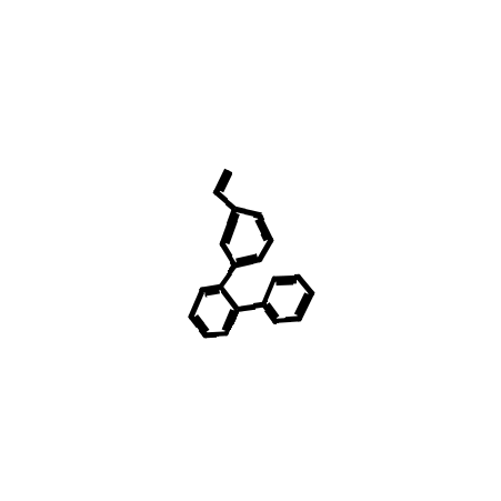 C=Cc1cccc(-c2ccccc2-c2ccccc2)c1